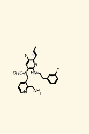 C/C=C/c1nc(NCCc2cccc(F)c2)c(N(C=O)Cc2cccnc2CN)cc1F